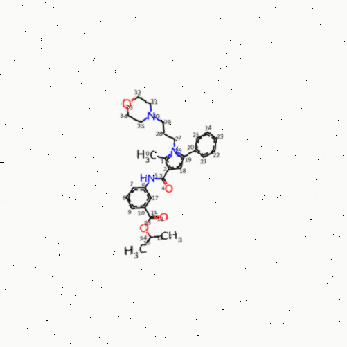 Cc1c(C(=O)Nc2cccc(C(=O)OC(C)C)c2)cc(-c2ccccc2)n1CCCN1CCOCC1